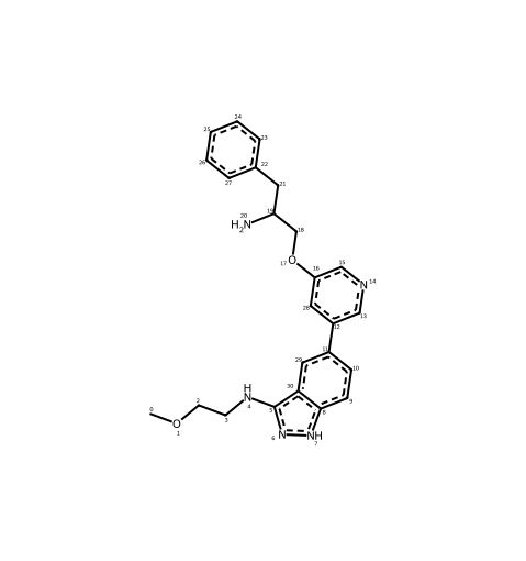 COCCNc1n[nH]c2ccc(-c3cncc(OCC(N)Cc4ccccc4)c3)cc12